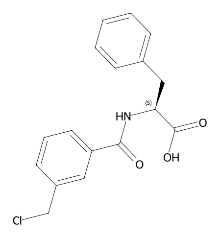 O=C(N[C@@H](Cc1ccccc1)C(=O)O)c1cccc(CCl)c1